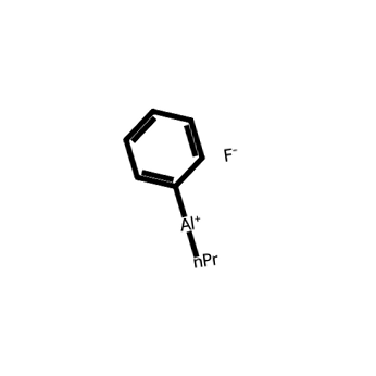 CC[CH2][Al+][c]1ccccc1.[F-]